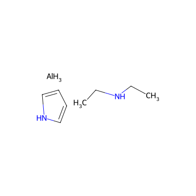 CCNCC.[AlH3].c1cc[nH]c1